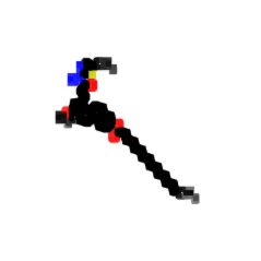 CCCCCCCCCCCCCCCC(=O)Oc1ccc2c(c1)CCC1C2CCC2(C)C(=O)CC(CCC(=O)Nc3ncc(C)s3)C12